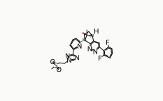 CC1(C)[C@H]2CC[C@]1(c1cccc(-c3ncn(CCS(C)(=O)=O)n3)n1)c1nnc(-c3c(F)cccc3F)cc12